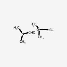 CN(C)C=O.C[Si](C)C(C)(C)C